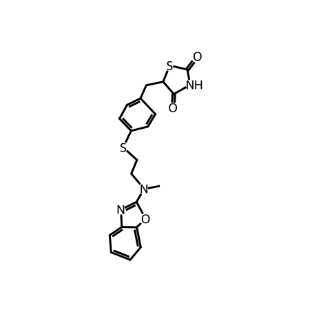 CN(CCSc1ccc(CC2SC(=O)NC2=O)cc1)c1nc2ccccc2o1